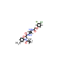 Cc1ccc2c(c1)N(C(=O)C1(C(F)(F)F)CC1)CC(C(=O)NC13CC(NC(=O)COc4ccc(Cl)c(F)c4)(C1)C3)O2